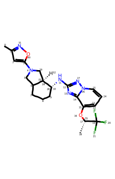 Cc1cc(N2CC3CCC[C@@H](Nc4nc5c(O[C@@H](C)C(F)(F)F)cccn5n4)[C@@H]3C2)on1